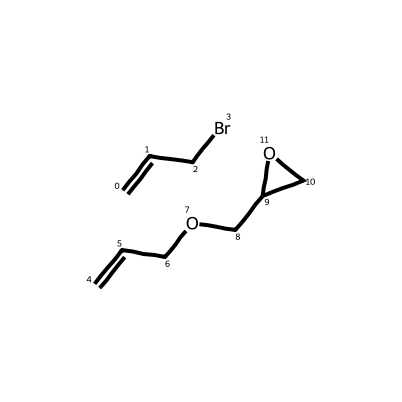 C=CCBr.C=CCOCC1CO1